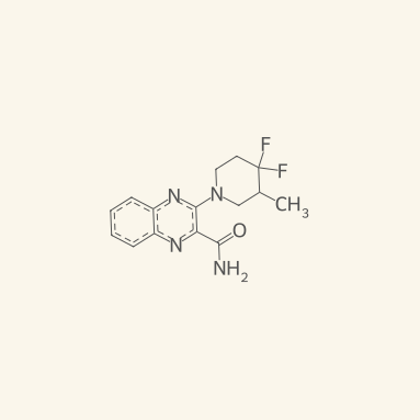 CC1CN(c2nc3ccccc3nc2C(N)=O)CCC1(F)F